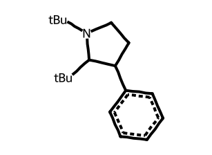 CC(C)(C)C1C(c2ccccc2)CCN1C(C)(C)C